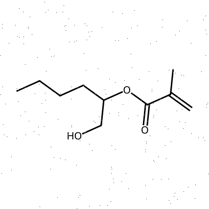 C=C(C)C(=O)OC(CO)CCCC